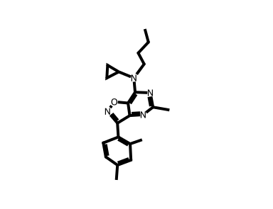 CCCCN(c1nc(C)nc2c(-c3ccc(C)cc3C)noc12)C1CC1